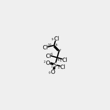 O=S(=O)(Cl)C(Cl)(Cl)C=C(Cl)Cl